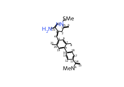 C=C(C/C(=C\c1cc(C)c(-c2ccc(C(=C)NC)cc2)cc1C)C(=C)N)NSC